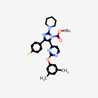 Cc1cc(C)cc(Oc2nccc(-c3c(-c4ccc(F)cc4)nc(N4CCCCC4)n3C(=O)OC(C)(C)C)n2)c1